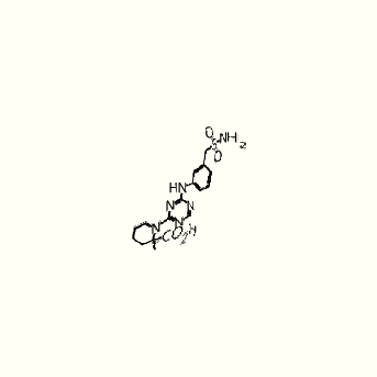 C[C@]1(C(=O)O)CCCCN1c1ncnc(Nc2cccc(CS(N)(=O)=O)c2)n1